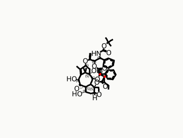 C=C(O[C@H]1C[C@@]2(O)[C@@H](OC(=O)c3ccccc3)C3[C@](C)(C(=O)[C@H](O)C(=C1C)C2(C)C)[C@@H](O)C[C@H]1OC[C@@]31OC(C)=O)[C@H](OC(=O)CCCCC)[C@@H](NC(=O)OC(C)(C)C)c1ccccc1